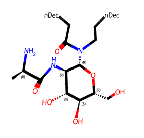 CCCCCCCCCCCCN(C(=O)CCCCCCCCCCC)[C@@H]1O[C@H](CO)[C@@H](O)[C@H](O)[C@H]1NC(=O)[C@@H](C)N